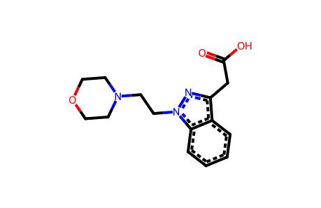 O=C(O)Cc1nn(CCN2CCOCC2)c2ccccc12